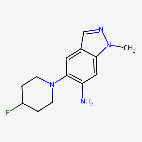 Cn1ncc2cc(N3CCC(F)CC3)c(N)cc21